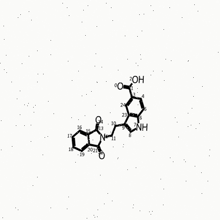 O=C(O)c1ccc2[nH]cc(CCN3C(=O)c4ccccc4C3=O)c2c1